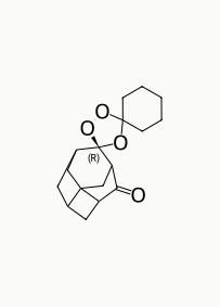 O=C1C2CC3CC4CC32CC1[C@]41OOC2(CCCCC2)O1